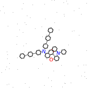 c1ccc(-c2ccc(-c3ccc(N(c4ccc(-c5ccc(-c6ccccc6)cc5)cc4)c4ccc5c6c(cccc46)-c4c(cccc4N(c4ccccc4)c4ccccc4)O5)cc3)cc2)cc1